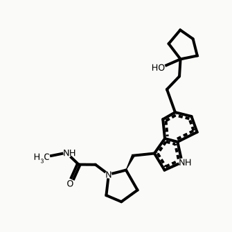 CNC(=O)CN1CCC[C@@H]1Cc1c[nH]c2ccc(CCC3(O)CCCC3)cc12